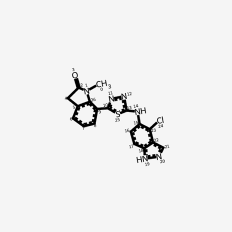 CN1C(=O)Cc2cccc(-c3nnc(Nc4ccc5[nH]ncc5c4Cl)s3)c21